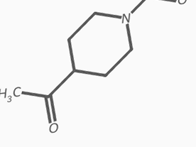 CC(=O)C1CCN(C=O)CC1